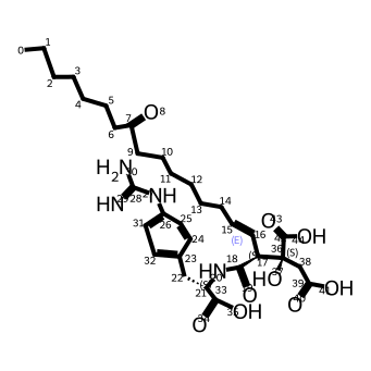 CCCCCCCC(=O)CCCCCC/C=C/[C@H](C(=O)N[C@@H](Cc1ccc(NC(=N)N)cc1)C(=O)O)[C@@](O)(CC(=O)O)C(=O)O